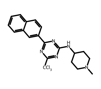 CN1CCC(Nc2nc(-c3ccc4ccccc4c3)nc(C(Cl)(Cl)Cl)n2)CC1